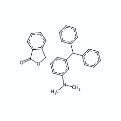 CN(C)c1cccc(C(c2ccccc2)c2ccccc2)c1.O=C1OCc2ccccc21